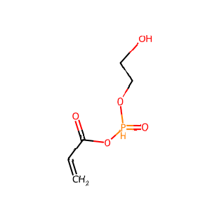 C=CC(=O)O[PH](=O)OCCO